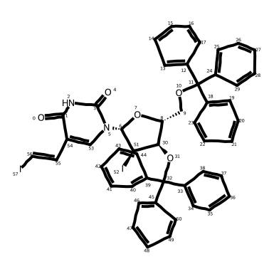 O=c1[nH]c(=O)n([C@@H]2O[C@H](COC(c3ccccc3)(c3ccccc3)c3ccccc3)[C@@H](OC(c3ccccc3)(c3ccccc3)c3ccccc3)[C@H]2I)cc1C=CI